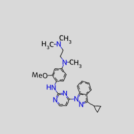 COc1cc(N(C)CCN(C)C)ccc1Nc1nccc(-n2nc(C3CC3)c3ccccc32)n1